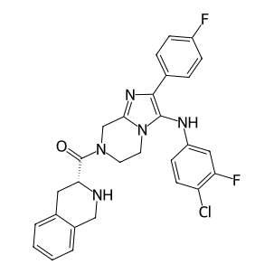 O=C([C@H]1Cc2ccccc2CN1)N1CCn2c(nc(-c3ccc(F)cc3)c2Nc2ccc(Cl)c(F)c2)C1